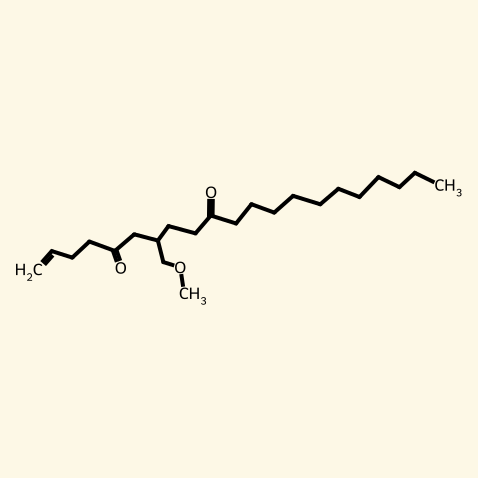 C=CCCC(=O)CC(CCC(=O)CCCCCCCCCCC)COC